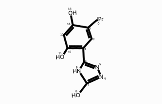 CC(C)c1cc(-c2nnc(O)[nH]2)c(O)cc1O